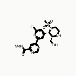 CNC(=O)c1cc(-c2cc([C@H]3[C@H](CO)NCCN3S(C)(=O)=O)cc(Cl)n2)ncn1